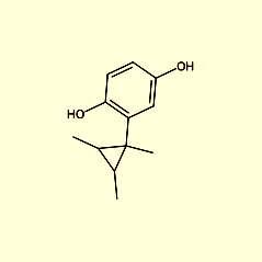 CC1C(C)C1(C)c1cc(O)ccc1O